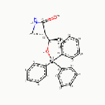 C[C@@H](O[Si](c1ccccc1)(c1ccccc1)c1ccccc1)[C@@H]1CNC1=O